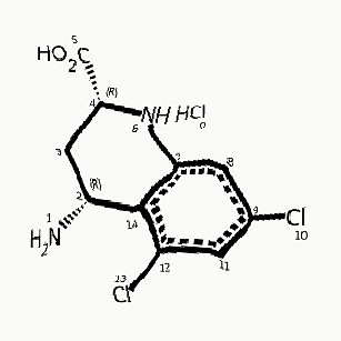 Cl.N[C@@H]1C[C@H](C(=O)O)Nc2cc(Cl)cc(Cl)c21